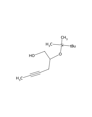 CC#CCC(CO)O[Si](C)(C)C(C)(C)C